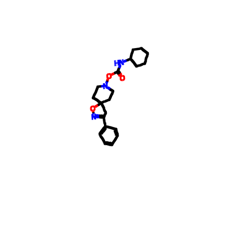 O=C(NC1CCCCC1)ON1CCC2(CC1)CC(c1ccccc1)=NO2